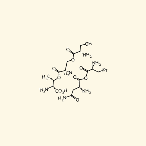 CC(C)C[C@H](N)C(=O)OC(=O)[C@@H](N)CC(N)=O.C[C@@H](OC(=O)[C@@H](N)COC(=O)[C@@H](N)CO)[C@H](N)C(=O)O